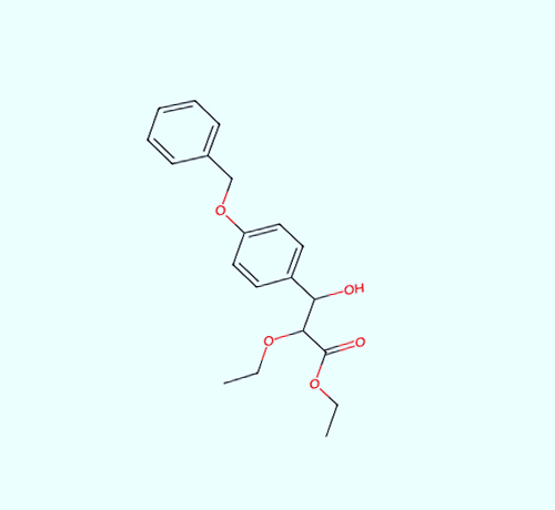 CCOC(=O)C(OCC)C(O)c1ccc(OCc2ccccc2)cc1